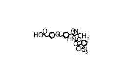 Cc1noc(-c2ccc(COc3ccc(CC(=O)O)cc3)cc2)c1NC(=O)O[C@H](C)c1ccccc1Cl